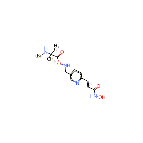 CC(C)(C)NC(C)(C)C(=O)ONCc1ccc(/C=C/C(=O)NO)nc1